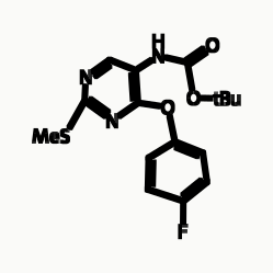 CSc1ncc(NC(=O)OC(C)(C)C)c(Oc2ccc(F)cc2)n1